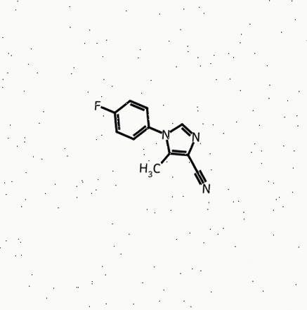 Cc1c(C#N)ncn1-c1ccc(F)cc1